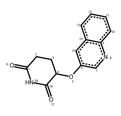 O=C1CCC(Oc2cnc3ccccc3c2)C(=O)N1